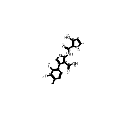 Cc1ccc(-c2csc(NC(=O)c3occc3O)c2C(=O)O)c(F)c1F